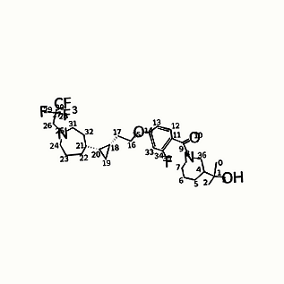 CC(C)(O)C1CCCN(C(=O)c2ccc(OCC[C@@H]3C[C@@H]3C3CCCN(CC(F)(F)C(F)(F)F)CC3)cc2F)C1